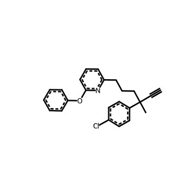 C#CC(C)(CCCc1cccc(Oc2ccccc2)n1)c1ccc(Cl)cc1